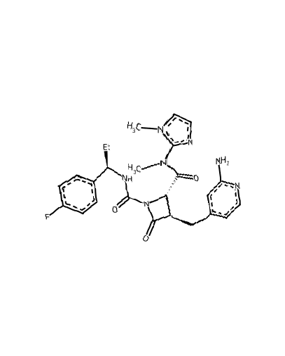 CC[C@@H](NC(=O)N1C(=O)[C@H](Cc2ccnc(N)c2)[C@H]1C(=O)N(C)c1nccn1C)c1ccc(F)cc1